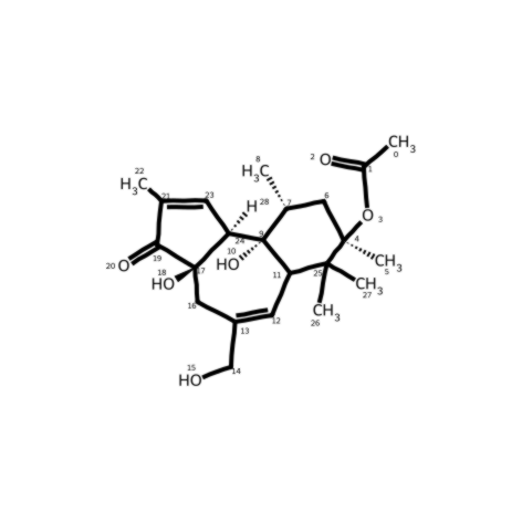 CC(=O)O[C@]1(C)C[C@@H](C)[C@@]2(O)C(C=C(CO)C[C@]3(O)C(=O)C(C)=C[C@@H]23)C1(C)C